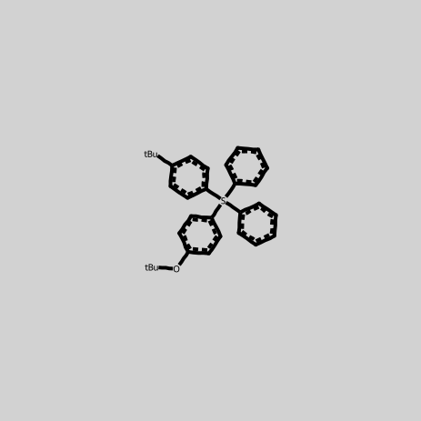 CC(C)(C)Oc1ccc(S(c2ccccc2)(c2ccccc2)c2ccc(C(C)(C)C)cc2)cc1